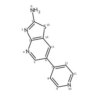 Nc1nc2ncc(-c3ccncc3)cc2s1